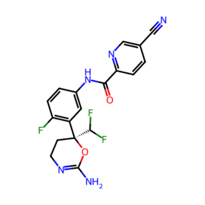 N#Cc1ccc(C(=O)Nc2ccc(F)c([C@]3(C(F)F)CCN=C(N)O3)c2)nc1